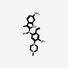 C=Cc1cc(CCC)c(N2CCN(C)CC2)cc1N(c1[nH]c2cc(N)ccc2c1C)C(C)C